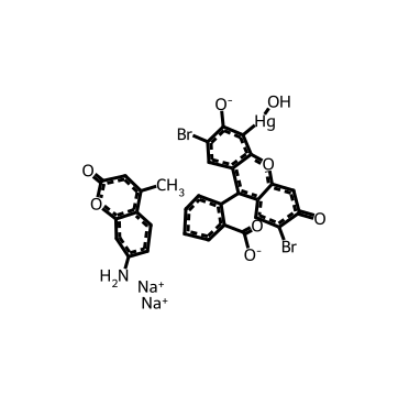 Cc1cc(=O)oc2cc(N)ccc12.O=C([O-])c1ccccc1-c1c2cc(Br)c(=O)cc-2oc2[c]([Hg][OH])c([O-])c(Br)cc12.[Na+].[Na+]